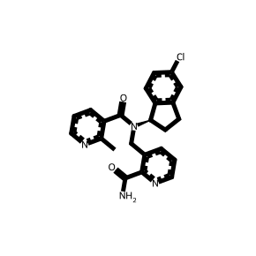 Cc1ncccc1C(=O)N(Cc1cccnc1C(N)=O)[C@@H]1CCc2cc(Cl)ccc21